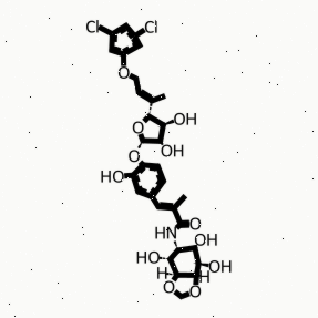 CC(=Cc1ccc(O[C@@H]2O[C@H](C(C)=CCOc3cc(Cl)cc(Cl)c3)[C@@H](O)[C@@H]2O)c(O)c1)C(=O)N[C@@H]1[C@H](O)[C@@H](O)[C@H]2OCO[C@H]2[C@@H]1O